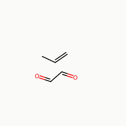 C=CC.O=CC=O